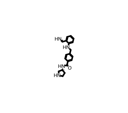 N=Cc1ccccc1NCc1ccc(C(=O)N[C@@H]2CCNC2)cc1